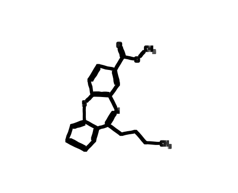 CCCCC1=Nc2cc(C(=O)OC)ccc2Sc2ccccc21